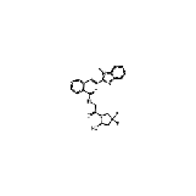 Cn1c(C=Cc2cnccc2C(=O)NCC(=O)N2CC(F)(F)CC2C#N)nc2ccccc21